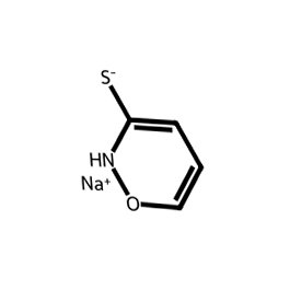 [Na+].[S-]C1=CC=CON1